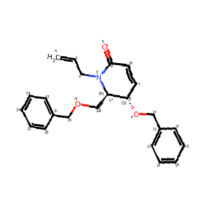 C=CCN1C(=O)C=C[C@H](OCc2ccccc2)[C@H]1COCc1ccccc1